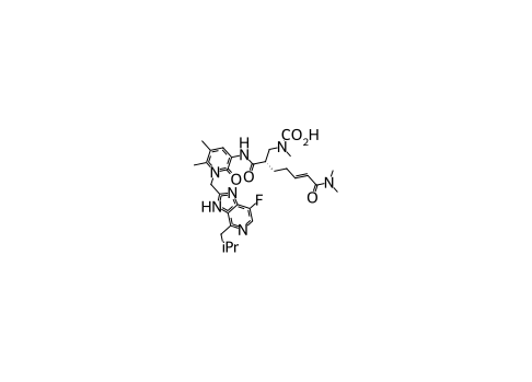 Cc1cc(NC(=O)[C@@H](CC/C=C/C(=O)N(C)C)CN(C)C(=O)O)c(=O)n(Cc2nc3c(F)cnc(CC(C)C)c3[nH]2)c1C